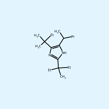 CCC(C)(C)c1nc(C(C)(CC)CC)[nH]c1C(C)C(C)C